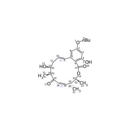 CCCCOc1cc(O)c2c(c1)/C=C/C[C@H](O)[C@H](C)C(=O)/C=C\[C@@H](C)[C@H](C)OC2=O